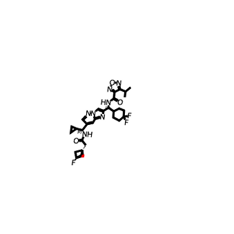 CC(C)c1nonc1C(=O)N[C@H](c1cn2ncc([C@H](NC(=O)C[C@]34C[C@@](F)(C3)C4)C3CC3)cc2n1)C1CCC(F)(F)CC1